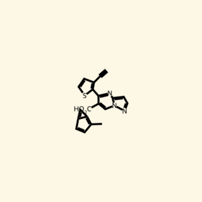 C#Cc1ccsc1-c1nc2ccnn2cc1C(=O)O.Cc1ccc2cc1-2